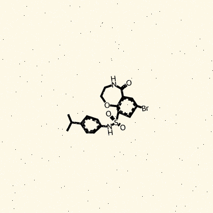 CC(C)c1ccc(NS(=O)(=O)c2cc(Br)cc3c2OCCNC3=O)cc1